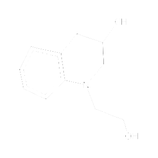 CC1Cc2ccccc2N(CCO)C1